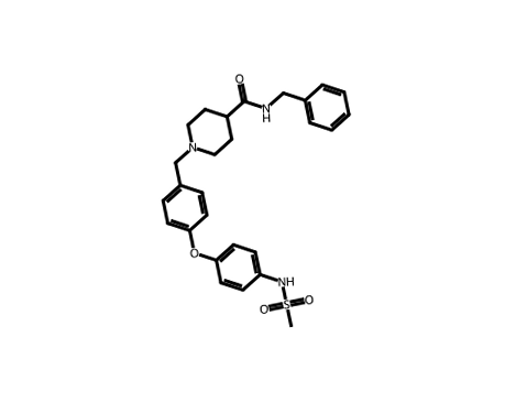 CS(=O)(=O)Nc1ccc(Oc2ccc(CN3CCC(C(=O)NCc4ccccc4)CC3)cc2)cc1